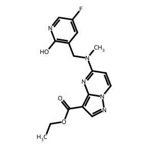 CCOC(=O)c1cnn2ccc(N(C)Cc3cc(F)cnc3O)nc12